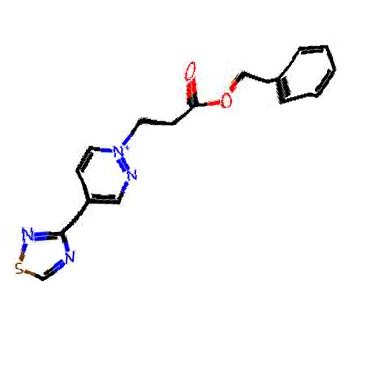 O=C(CC[n+]1ccc(-c2ncsn2)cn1)OCc1ccccc1